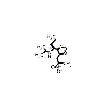 C=C(Cc1nonc1/C(=C\CC)NC(C)C)[N+](=O)[O-]